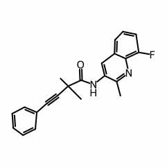 Cc1nc2c(F)cccc2cc1NC(=O)C(C)(C)C#Cc1ccccc1